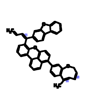 C=C/C=C(/c1ccc2c(c1)oc1ccccc12)c1cccc2c1Oc1ccc(-c3ccc4c(c3)OC/C=C\C=C\4C)c3cccc-2c13